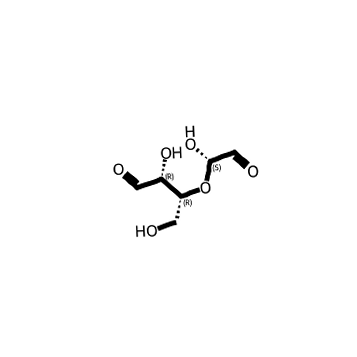 O=C[C@@H](O)O[C@H](CO)[C@@H](O)C=O